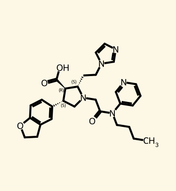 CCCCN(C(=O)CN1C[C@H](c2ccc3c(c2)CCO3)[C@@H](C(=O)O)[C@@H]1CCn1ccnc1)c1cccnc1